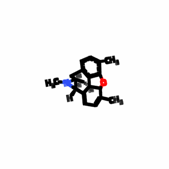 CC1=CC=C2[C@@H]3N(C)[C@@]34Cc3ccc(C)c5c3[C@@]2(C4)C1O5